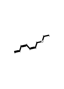 C=C/C=C\C=C/COCC